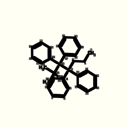 CCC[Si](c1ccccc1)(c1ccccc1)[Si](c1ccccc1)(c1ccccc1)C(C)(C)C